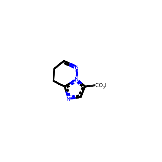 O=C(O)c1cnc2n1N=CCC2